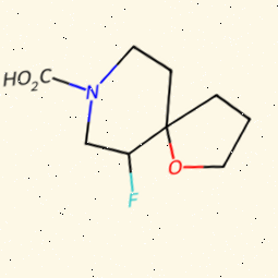 O=C(O)N1CCC2(CCCO2)C(F)C1